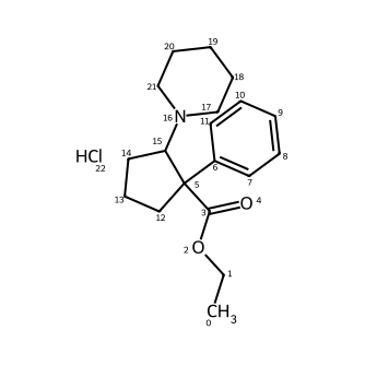 CCOC(=O)C1(c2ccccc2)CCCC1N1CCCCC1.Cl